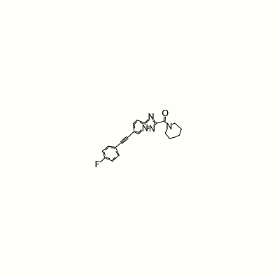 O=C(c1nc2ccc(C#Cc3ccc(F)cc3)cn2n1)N1CCCCC1